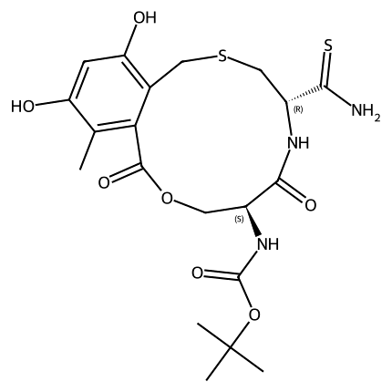 Cc1c(O)cc(O)c2c1C(=O)OC[C@H](NC(=O)OC(C)(C)C)C(=O)N[C@@H](C(N)=S)CSC2